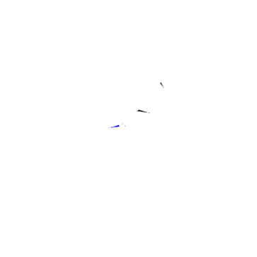 O=C(O)[C@H]1CCCC[C@H]1C(=O)N[C@@H]1CCCc2ccccc21